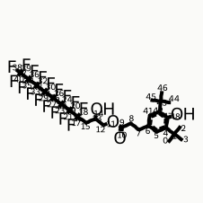 CC(C)(C)c1cc(CCC(=O)OCC(O)CC(F)(F)C(F)(F)C(F)(F)C(F)(F)C(F)(F)C(F)(F)C(F)(F)C(F)(F)F)cc(C(C)(C)C)c1O